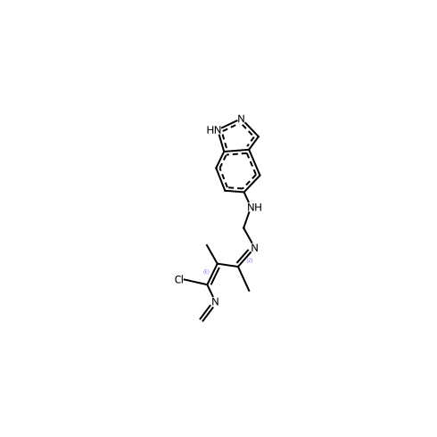 C=N/C(Cl)=C(C)\C(C)=N/CNc1ccc2[nH]ncc2c1